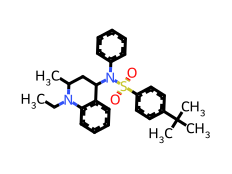 CCN1c2ccccc2C(N(c2ccccc2)S(=O)(=O)c2ccc(C(C)(C)C)cc2)CC1C